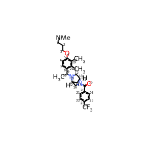 CNCCCOc1ccc([C@H](C)N2C[C@@H]3C[C@H]2CN3C(=O)c2ccc(C(F)(F)F)cc2)c(C)c1C